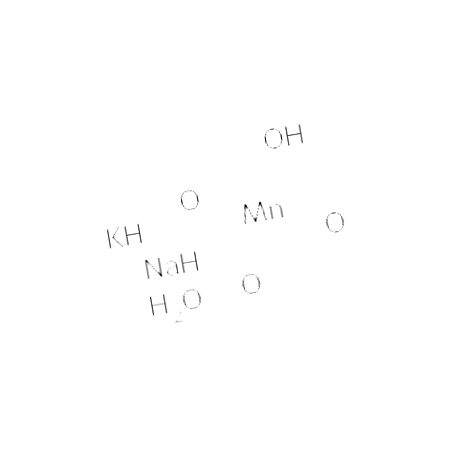 O.[KH].[NaH].[O]=[Mn](=[O])(=[O])[OH]